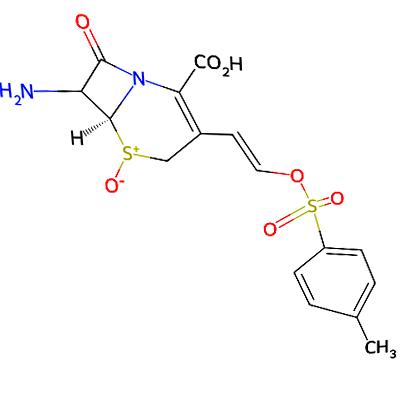 Cc1ccc(S(=O)(=O)OC=CC2=C(C(=O)O)N3C(=O)C(N)[C@@H]3[S+]([O-])C2)cc1